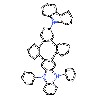 c1ccc(-n2c3ccccc3n(-c3ccccc3)c3cc4c5ccccc5c5cc(-n6c7ccccc7c7ccccc76)ccc5c5ccccc5c4cc32)cc1